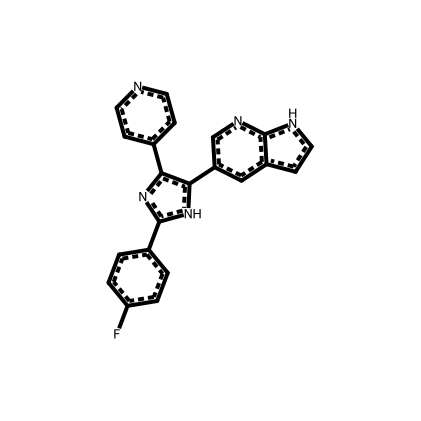 Fc1ccc(-c2nc(-c3ccncc3)c(-c3cnc4[nH]ccc4c3)[nH]2)cc1